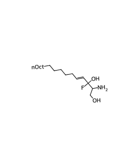 CCCCCCCCCCCCCC=CC(O)(F)C(N)CO